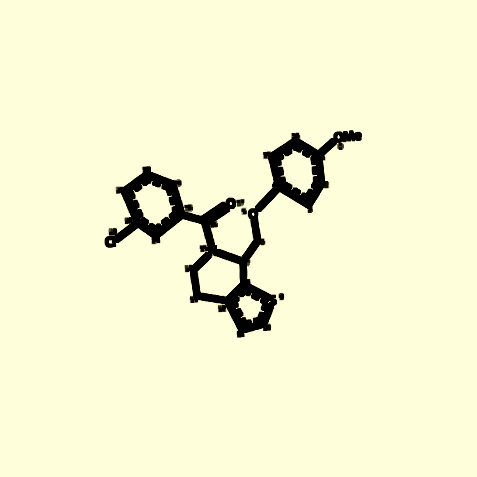 COc1ccc(OCC2c3sccc3CCN2C(=O)c2cccc(Cl)c2)cc1